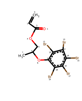 C=CC(=O)OCC(C)Oc1c(Br)c(Br)c(Br)c(Br)c1Br